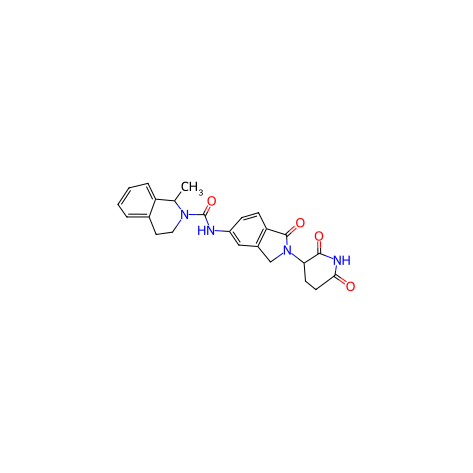 CC1c2ccccc2CCN1C(=O)Nc1ccc2c(c1)CN(C1CCC(=O)NC1=O)C2=O